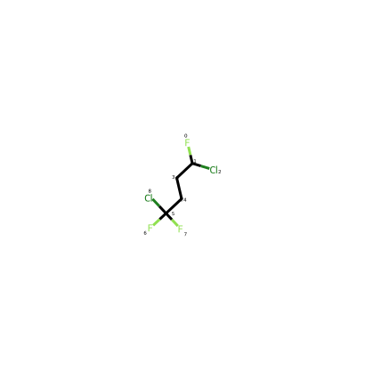 FC(Cl)C[CH]C(F)(F)Cl